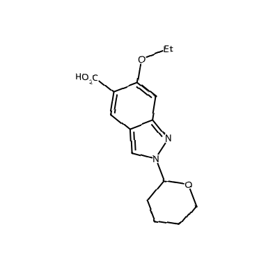 CCOc1cc2nn(C3CCCCO3)cc2cc1C(=O)O